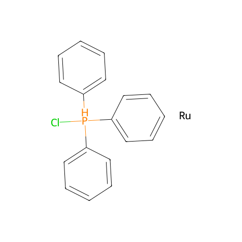 Cl[PH](c1ccccc1)(c1ccccc1)c1ccccc1.[Ru]